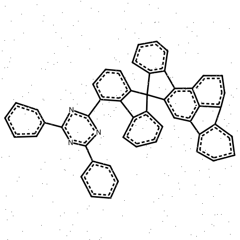 c1ccc(-c2nc(-c3ccccc3)nc(-c3cccc4c3-c3ccccc3C43c4ccccc4-c4c3cc3c5c(cccc45)-c4ccccc4-3)n2)cc1